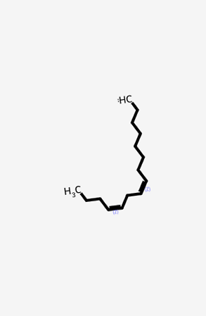 [CH]CCCCCC/C=C\C/C=C\CCC